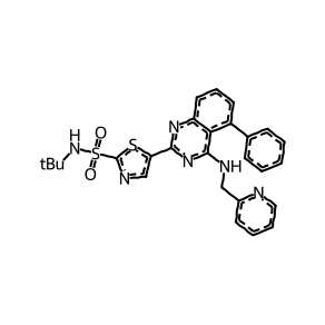 CC(C)(C)NS(=O)(=O)c1ncc(-c2nc(NCc3ccccn3)c3c(-c4ccccc4)cccc3n2)s1